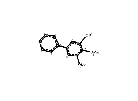 COc1cc(-c2ccccc2)cc(C=O)c1OC